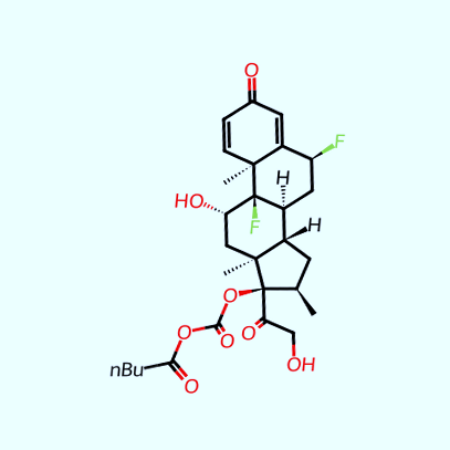 CCCCC(=O)OC(=O)O[C@]1(C(=O)CO)[C@H](C)C[C@H]2[C@@H]3C[C@H](F)C4=CC(=O)C=C[C@]4(C)[C@@]3(F)[C@@H](O)C[C@@]21C